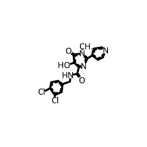 Cn1c(-c2ccncc2)nc(C(=O)NCc2ccc(Cl)c(Cl)c2)c(O)c1=O